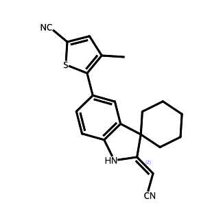 Cc1cc(C#N)sc1-c1ccc2c(c1)C1(CCCCC1)/C(=C/C#N)N2